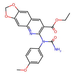 CCOC(=O)c1cc2cc3c(cc2nc1N(C(N)=O)c1ccc(OC)cc1)OCO3